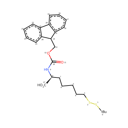 CC(C)(C)SSCCCCC[C@H](NC(=O)OCC1c2ccccc2-c2ccccc21)C(=O)O